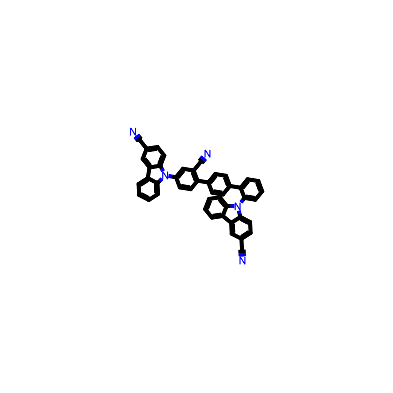 N#Cc1ccc2c(c1)c1ccccc1n2-c1ccc(-c2ccc(-c3ccccc3-n3c4ccccc4c4cc(C#N)ccc43)cc2)c(C#N)c1